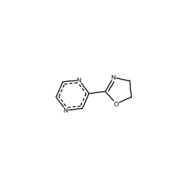 c1cnc(C2=NCCO2)cn1